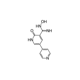 N=C(NO)c1cc(-c2ccncc2)c[nH]c1=O